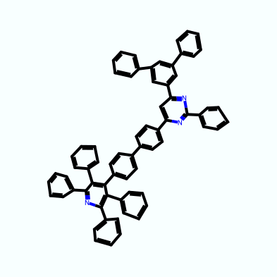 c1ccc(-c2cc(-c3ccccc3)cc(-c3cc(-c4ccc(-c5ccc(-c6c(-c7ccccc7)c(-c7ccccc7)nc(-c7ccccc7)c6-c6ccccc6)cc5)cc4)nc(-c4ccccc4)n3)c2)cc1